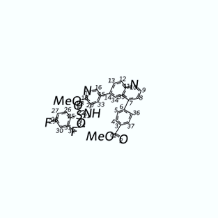 COC(=O)c1ccc(-c2ccnc3ccc(-c4cnc(OC)c(NS(=O)(=O)c5ccc(F)cc5F)c4)cc23)cc1